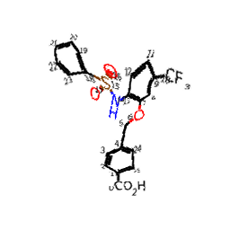 O=C(O)c1ccc(COc2cc(C(F)(F)F)ccc2NS(=O)(=O)c2ccccc2)cc1